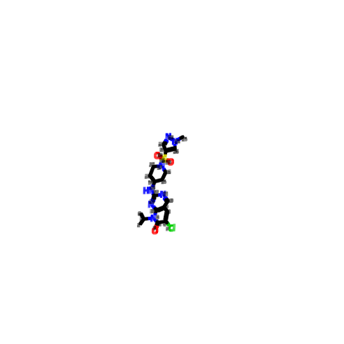 CC(C)n1c(=O)c(Cl)cc2cnc(NC3CCN(S(=O)(=O)c4cnn(C)c4)CC3)nc21